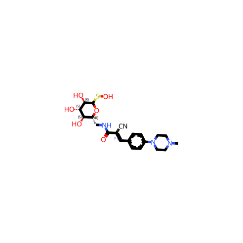 CN1CCN(c2ccc(/C=C(\C#N)C(=O)NC[C@H]3OC(SO)[C@H](O)[C@@H](O)[C@@H]3O)cc2)CC1